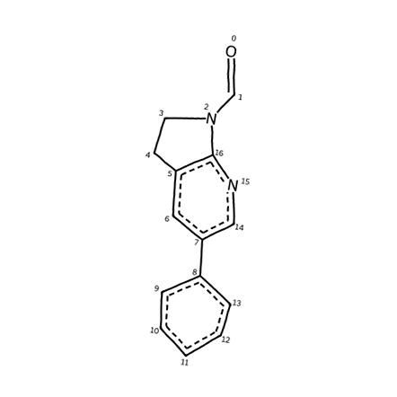 O=CN1CCc2cc(-c3ccccc3)cnc21